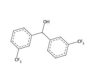 O[C](c1cccc(C(F)(F)F)c1)c1cccc(C(F)(F)F)c1